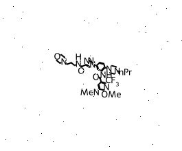 CCCN1CCN(c2ccc(-n3cc(C(=O)NCCCN4CCOCC4)nn3)cc2NC(=O)c2cc(NC)c(OC)nc2C(F)(F)F)CC1